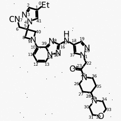 CCc1cnn(C2(CC#N)CN(c3cccn4nc(Nc5cnn(CC(=O)N6CCC(N7CCOCC7)CC6)c5)nc34)C2)c1